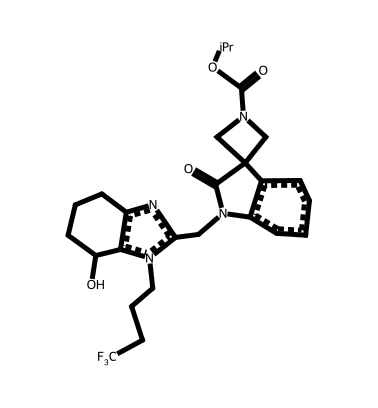 CC(C)OC(=O)N1CC2(C1)C(=O)N(Cc1nc3c(n1CCCC(F)(F)F)C(O)CCC3)c1ccccc12